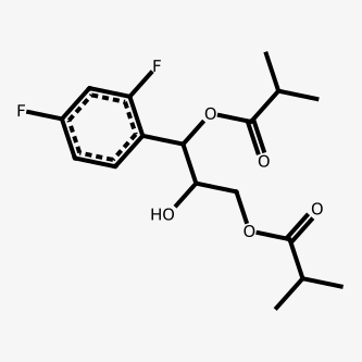 CC(C)C(=O)OCC(O)C(OC(=O)C(C)C)c1ccc(F)cc1F